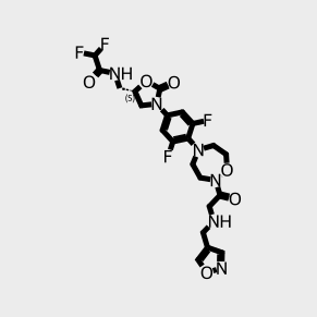 O=C(NC[C@H]1CN(c2cc(F)c(N3CCON(C(=O)CNCc4cnoc4)CC3)c(F)c2)C(=O)O1)C(F)F